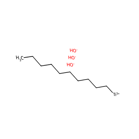 CCCCCCCCC[CH2][Ti+3].[OH-].[OH-].[OH-]